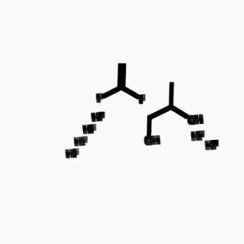 C=C(F)F.CC(O)CO.F.F.F.F.F.F